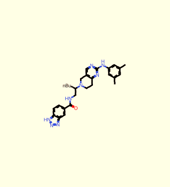 CCCCC(CNC(=O)c1ccc2[nH]nnc2c1)N1CCc2nc(Nc3cc(C)cc(C)c3)ncc2C1